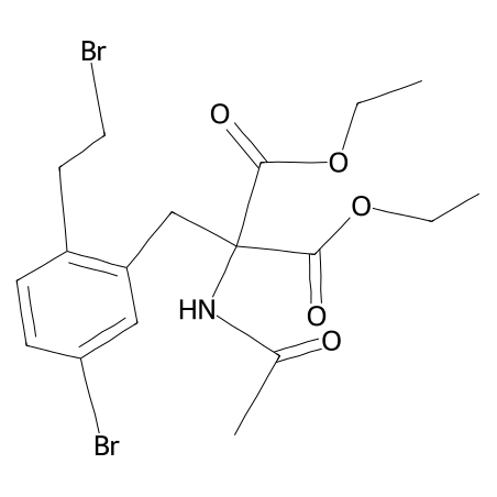 CCOC(=O)C(Cc1cc(Br)ccc1CCBr)(NC(C)=O)C(=O)OCC